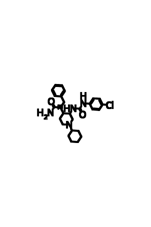 NC(=O)[C@@H](Cc1ccccc1)C1CCN(C2CCCCC2)CC1NC(=O)Nc1ccc(Cl)cc1